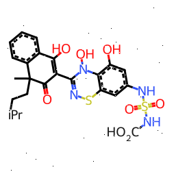 CC(C)CCC1(C)C(=O)C(C2=NSc3cc(NS(=O)(=O)NC(=O)O)cc(O)c3N2O)=C(O)c2ccccc21